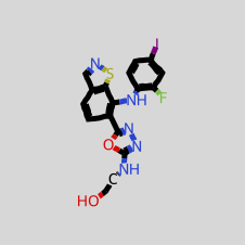 OCCNc1nnc(-c2ccc3cnsc3c2Nc2ccc(I)cc2F)o1